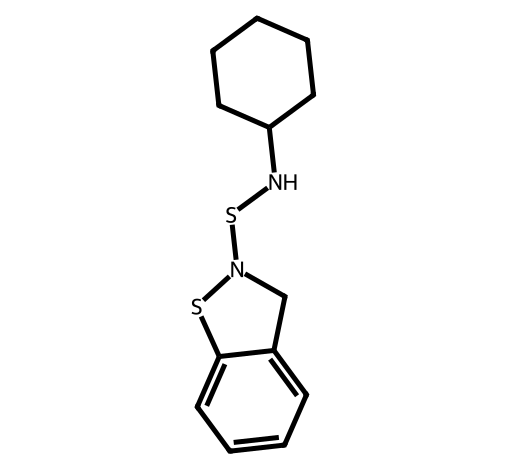 c1ccc2c(c1)CN(SNC1CCCCC1)S2